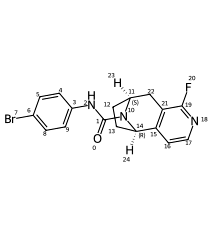 O=C(Nc1ccc(Br)cc1)N1[C@H]2CC[C@@H]1c1ccnc(F)c1C2